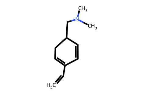 C=CC1=CCC(CN(C)C)C=C1